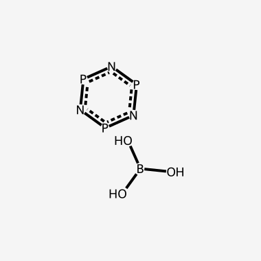 OB(O)O.n1pnpnp1